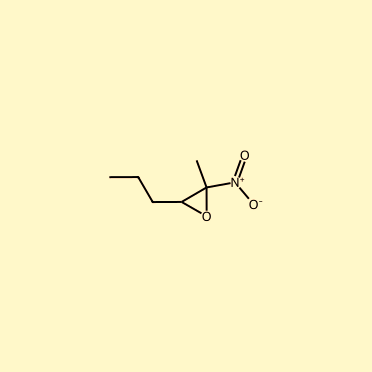 CCCC1OC1(C)[N+](=O)[O-]